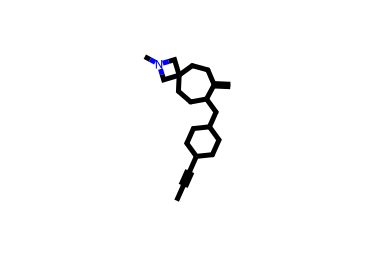 C=C1CCC2(CCC1CC1CCC(C#CC)CC1)CN(C)C2